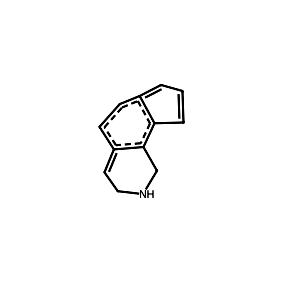 C1=Cc2c3c(ccc2=C1)=CCNC3